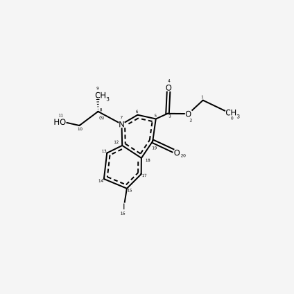 CCOC(=O)c1cn([C@@H](C)CO)c2ccc(I)cc2c1=O